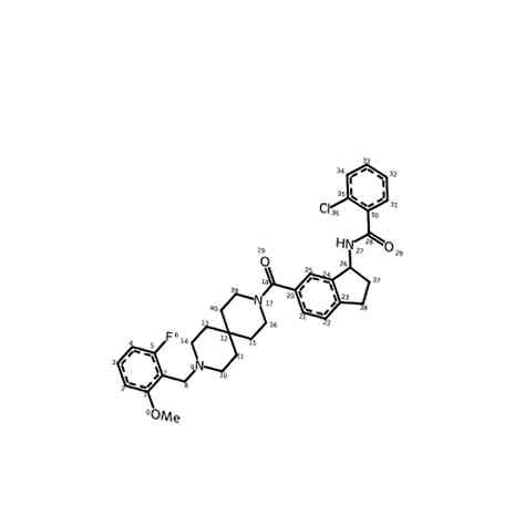 COc1cccc(F)c1CN1CCC2(CC1)CCN(C(=O)c1ccc3c(c1)C(NC(=O)c1ccccc1Cl)CC3)CC2